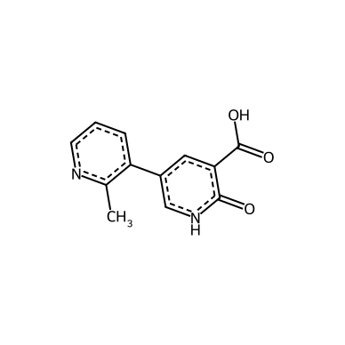 Cc1ncccc1-c1c[nH]c(=O)c(C(=O)O)c1